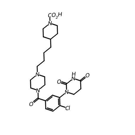 O=C1CCN(c2cc(C(=O)N3CCN(CCCCC4CCN(C(=O)O)CC4)CC3)ccc2Cl)C(=O)N1